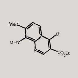 CCOC(=O)c1cnc2c(OC)c(OC)ccc2c1Cl